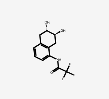 O=C(Nc1cccc2c1C[C@H](O)[C@@H](O)C2)C(F)(F)F